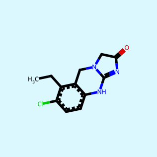 CCc1c(Cl)ccc2c1CN1CC(=O)N=C1N2